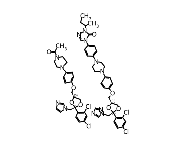 CC(=O)N1CCN(c2ccc(OC[C@H]3CO[C@](Cn4ccnc4)(c4ccc(Cl)cc4Cl)O3)cc2)CC1.CCC(C)n1ncn(-c2ccc(N3CCN(c4ccc(OC[C@H]5CO[C@](Cn6cncn6)(c6ccc(Cl)cc6Cl)O5)cc4)CC3)cc2)c1=O